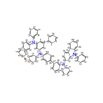 c1ccc(-c2cc(N(c3ccccc3)c3ccccc3)cc(N(c3ccc(-c4ccc5c6ccccc6n(-c6ccc7c8ccccc8n(-c8ccccc8)c7c6)c5c4)cc3)c3ccc4sc5ccccc5c4c3)c2)cc1